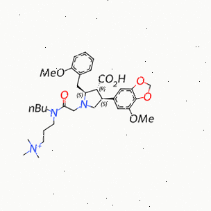 CCCCN(CCC[N+](C)(C)C)C(=O)CN1C[C@H](c2cc(OC)c3c(c2)OCO3)[C@@H](C(=O)O)[C@@H]1Cc1ccccc1OC